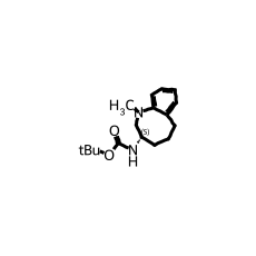 CN1C[C@@H](NC(=O)OC(C)(C)C)CCCc2ccccc21